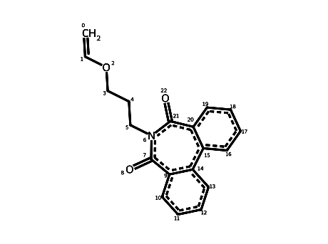 C=COCCCn1c(=O)c2ccccc2c2ccccc2c1=O